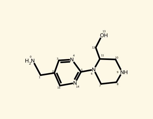 NCc1cnc(N2CCNCC2CO)nc1